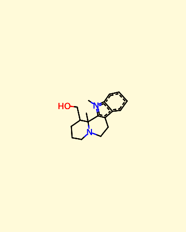 Cn1c2c(c3ccccc31)CCN1CCCC(CO)C21C